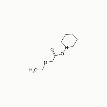 CCOCC(=O)ON1CCCCC1